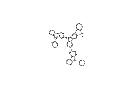 CC1(C)c2ccccc2-c2cc3c(cc21)c1cc(-c2ccc4c(c2)c2ccccc2n4-c2ccccc2)ccc1n3-c1ccc2c3ccccc3n(-c3ccccc3)c2c1